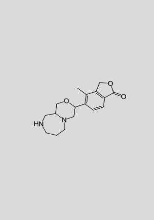 Cc1c(C2CN3CCCNCC3CO2)ccc2c1COC2=O